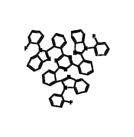 Fc1ccccc1-n1c(-c2ccccc2-c2nc(-c3ccccc3-c3nc4ccccc4n3-c3ccccc3F)nc(-c3ccccc3-c3nc4ccccc4n3-c3ccccc3F)n2)nc2ccccc21